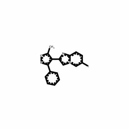 Cc1onc(-c2ccccc2)c1-c1cn2cc(I)ccc2n1